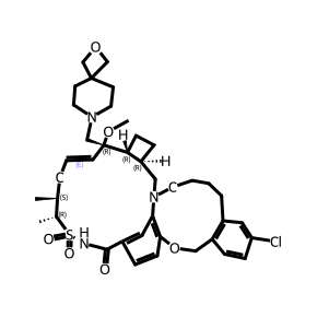 CO[C@@]1(CN2CCC3(CC2)COC3)/C=C/C[C@H](C)[C@@H](C)S(=O)(=O)NC(=O)c2ccc3c(c2)N(CCCCc2cc(Cl)ccc2CO3)C[C@@H]2CC[C@H]21